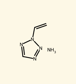 C=Cn1ncnn1.N